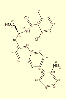 Cc1cccc(Cl)c1C(=O)N[C@@H](Cc1ccc2nc(-c3ccccc3[N+](=O)[O-])ccc2c1)C(=O)O